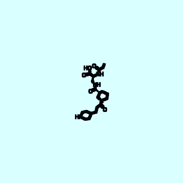 CCC(=O)N[C@@H](CNC(=O)[C@@H]1CCCN(C(=O)CCC2CCNCC2)C1)C(=O)O